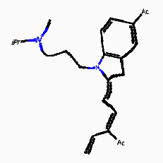 C=C/C(=C\C=C1/Cc2cc(C(C)=O)ccc2N1CCCN(C)C(C)C)C(C)=O